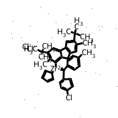 Cc1ccc([C](c2ccc(Cl)cc2)=[Zr+2]([c]2c(C)c(C(C)(C)C)cc3c2Cc2cc(C)c(C(C)(C)C)cc2-3)[CH]2C=CC=C2)cc1.[Cl-].[Cl-]